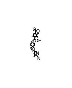 Cc1cc(N2CCC3(CCN(CC(O)c4ccc5c(c4C)COC5=O)CC3)C2)cnc1C#N